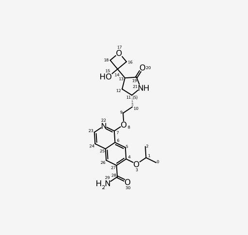 CC(C)Oc1cc2c(OCC[C@@H]3CC(C4(O)COC4)C(=O)N3)nccc2cc1C(N)=O